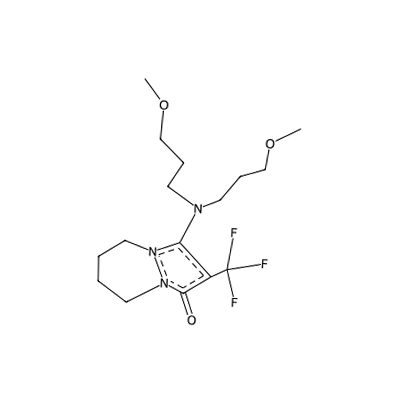 COCCCN(CCCOC)c1c(C(F)(F)F)c(=O)n2n1CCCC2